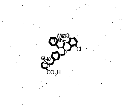 COc1ccc(Cl)c(CN(Cc2cccc(CN3C(C(=O)O)CCS3(=O)=O)c2)[C@@H](Cc2ccccc2)CN(C)C)c1F